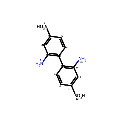 Nc1cc(S(=O)(=O)O)ccc1-c1ccc(S(=O)(=O)O)cc1N